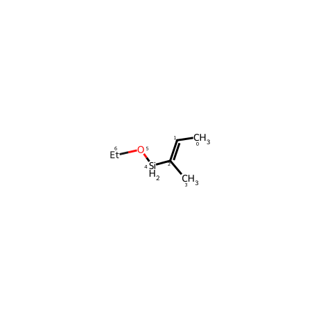 CC=C(C)[SiH2]OCC